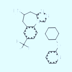 NC1Cc2cc(C(F)(F)F)ccc2-n2c(nnc2[C@H]2CC[C@H](Oc3ccccn3)CC2)C1